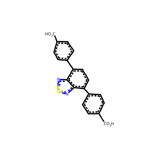 O=C(O)c1ccc(-c2ccc(-c3ccc(C(=O)O)cc3)c3nsnc23)cc1